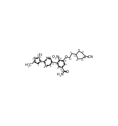 CCn1nc(C)cc1-c1ncc(-c2cc(C(N)=O)cc(OCCC3CCB(C#N)CC3)c2[N+](=O)[O-])cn1